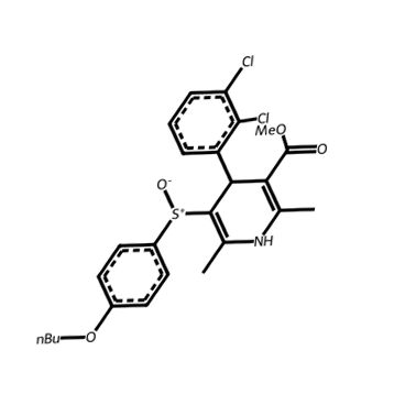 CCCCOc1ccc([S+]([O-])C2=C(C)NC(C)=C(C(=O)OC)C2c2cccc(Cl)c2Cl)cc1